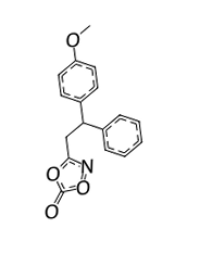 COc1ccc(C(Cc2noc(=O)o2)c2ccccc2)cc1